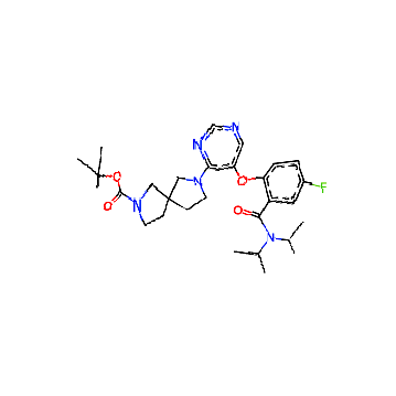 CC(C)N(C(=O)c1cc(F)ccc1Oc1cncnc1N1CCC2(CCN(C(=O)OC(C)(C)C)C2)C1)C(C)C